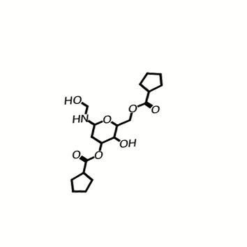 O=C(OCC1OC(NCO)CC(OC(=O)C2CCCC2)C1O)C1CCCC1